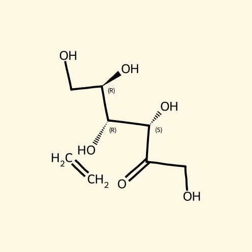 C=C.O=C(CO)[C@@H](O)[C@H](O)[C@H](O)CO